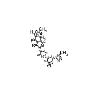 Cn1cc(-c2cc(-c3ccc(Cn4ncc5cc(C(C)(C)C)cc(F)c5c4=O)cc3)cc(Cl)n2)cn1